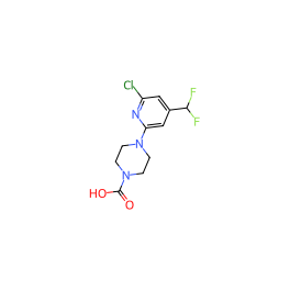 O=C(O)N1CCN(c2cc(C(F)F)cc(Cl)n2)CC1